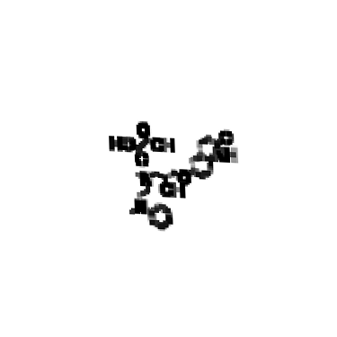 CN(CCN(C)c1ccccc1)CC(O)COc1ccc2[nH]c(=O)ccc2c1.O=C(O)C(=O)O